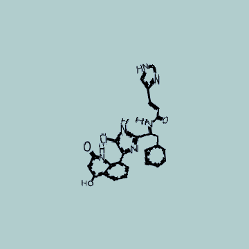 O=C(/C=C/c1c[nH]cn1)NC(Cc1ccccc1)c1nc(-c2cccc3c(O)cc(=O)[nH]c23)c(Cl)[nH]1